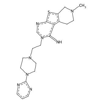 CN1CCc2c(sc3ncn(CCN4CCN(c5ncccn5)CC4)c(=N)c23)C1